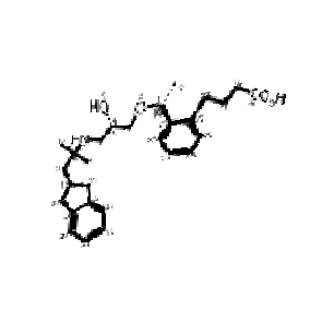 C[C@@H](OC[C@@H](O)CNC(C)(C)CC1Cc2ccccc2C1)c1ccccc1CCCC(=O)O